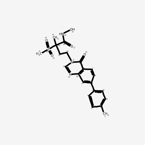 Cc1ccc(-c2ccc3c(=O)n(CCC(C)(C(=O)NO)S(C)(=O)=O)cnc3c2)cc1